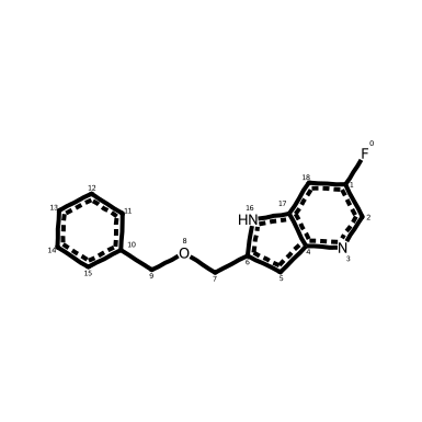 Fc1cnc2cc(COCc3ccccc3)[nH]c2c1